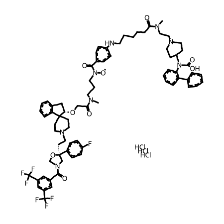 CON(CCCN(C)C(=O)CO[C@H]1Cc2ccccc2C12CCN(CC[C@]1(c3ccc(F)cc3)CN(C(=O)c3cc(C(F)(F)F)cc(C(F)(F)F)c3)CO1)CC2)C(=O)c1ccc(NCCCCCC(=O)N(C)CCN2CCC(N(C(=O)O)c3ccccc3-c3ccccc3)CC2)cc1.Cl.Cl.Cl